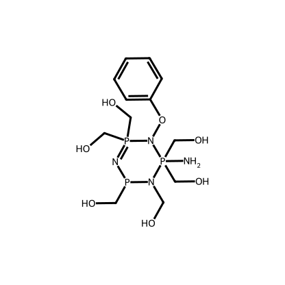 NP1(CO)(CO)N(CO)P(CO)N=P(CO)(CO)N1Oc1ccccc1